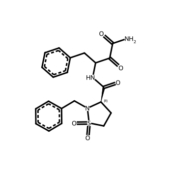 NC(=O)C(=O)C(Cc1ccccc1)NC(=O)[C@H]1CCS(=O)(=O)N1Cc1ccccc1